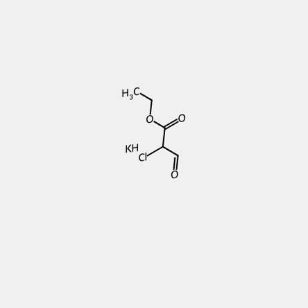 CCOC(=O)C(Cl)C=O.[KH]